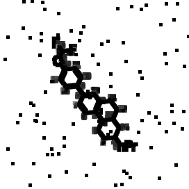 CCCC1CCC2c3ccc(-c4ccc(OC(F)F)cc4)cc3CCC2C1